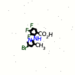 Cc1cc(Br)cnc1Nc1c(C(=O)O)cc(F)c(F)c1F